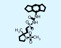 C[C@]1(/C=C/S(=O)(=O)NC(=O)Nc2c3c(cc4c2CCC4)CCC3)CCCN1S(C)(=O)=O